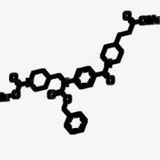 COC(=O)CCC1CCN(C(=O)c2ccc(N(CC3CCN(C(=O)OC(C)(C)C)CC3)C(=O)OCc3ccccc3)cc2)CC1